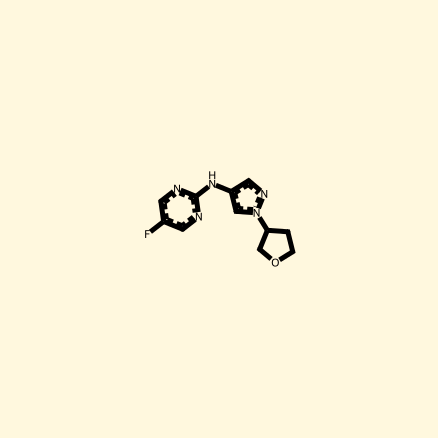 Fc1cnc(Nc2cnn(C3CCOC3)c2)nc1